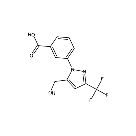 O=C(O)c1cccc(-n2nc(C(F)(F)F)cc2CO)c1